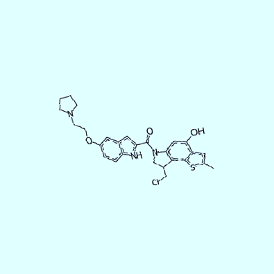 Cc1cc2c(O)cc3c(c2s1)C(CCl)CN3C(=O)c1cc2cc(OCCN3CCCC3)ccc2[nH]1